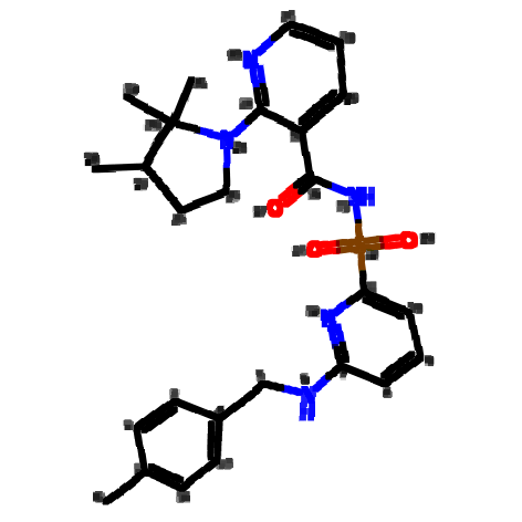 Cc1ccc(CNc2cccc(S(=O)(=O)NC(=O)c3cccnc3N3CCC(C)C3(C)C)n2)cc1